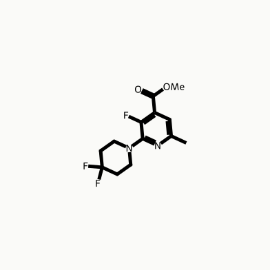 COC(=O)c1cc(C)nc(N2CCC(F)(F)CC2)c1F